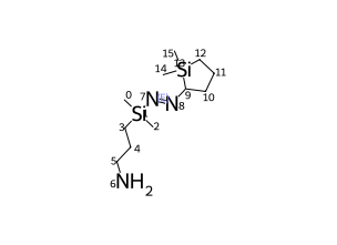 C[Si](C)(CCCN)/N=N/C1CCC[Si]1(C)C